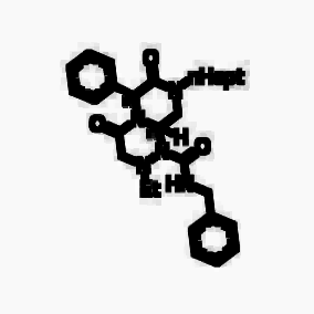 CCCCCCCN1C[C@H]2N(C(=O)CN(CC)N2C(=O)NCc2ccccc2)[C@@H](c2ccccc2)C1=O